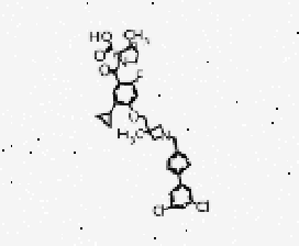 C[C@H]1CCN(C(=O)c2cc(C3CC3)c(OCC3(C)CN(Cc4ccc(-c5cc(Cl)cc(Cl)c5)cc4)C3)cc2F)[C@@H]1C(=O)O